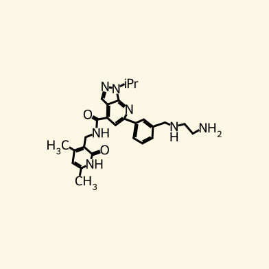 Cc1cc(C)c(CNC(=O)c2cc(-c3cccc(CNCCN)c3)nc3c2cnn3C(C)C)c(=O)[nH]1